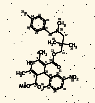 COC(=O)C1=C(C)NC(C)=C(C(=O)OCC(C)(C)CN(C)Cc2ccc(F)cc2)C1c1cc([N+](=O)[O-])ccc1F